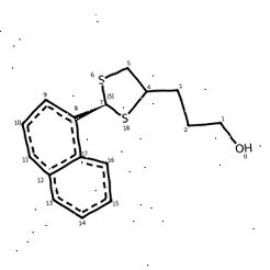 OCCCC1CS[C@H](c2cccc3ccccc23)S1